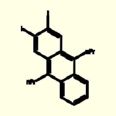 CCCc1c2ccccc2c(CCC)c2cc(I)c(I)cc12